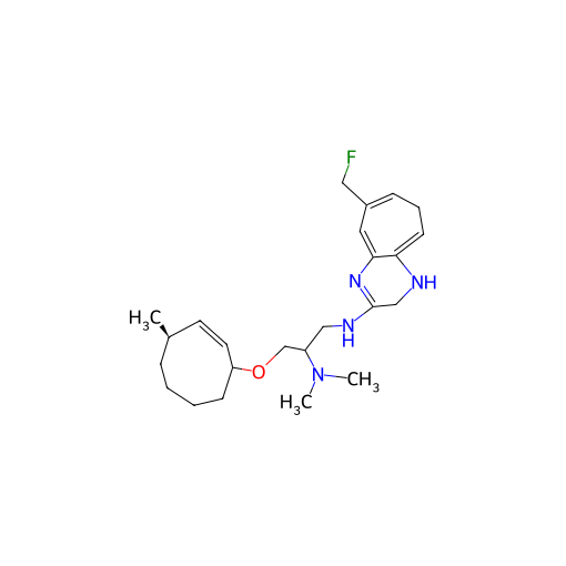 C[C@H]1/C=C\C(OCC(CNC2=NC3=CC(CF)=CCC=C3NC2)N(C)C)CCCC1